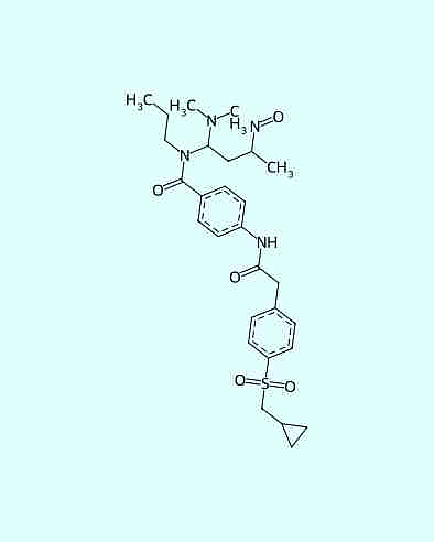 CCCN(C(=O)c1ccc(NC(=O)Cc2ccc(S(=O)(=O)CC3CC3)cc2)cc1)C(CC(C)N=O)N(C)C